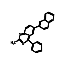 Cc1nc(-c2ccccc2)c2cc(-c3ccc4ccccc4c3)ccc2n1